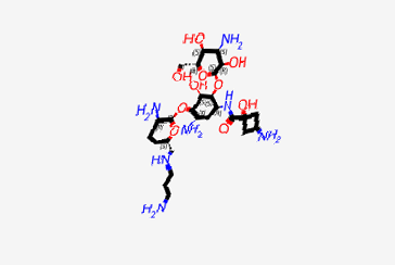 NCCCNC[C@@H]1CC[C@@H](N)[C@@H](OC2[C@@H](N)C[C@@H](NC(=O)C3(O)CC(N)C3)[C@H](O[C@H]3O[C@H](CO)[C@@H](O)[C@H](N)[C@H]3O)[C@H]2O)O1